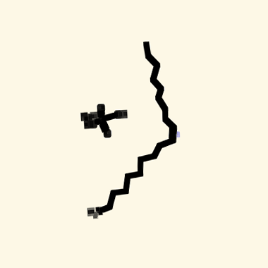 CCCCCCCC/C=C\CCCCCCCCN.O=S(=O)(O)O.[NaH]